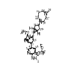 CC(C)n1nc(-c2cnc(N)c(OC(F)F)c2)cc1[C@H]1[C@@H]2CC(N3CCCN(C)CC3)C[C@@H]21